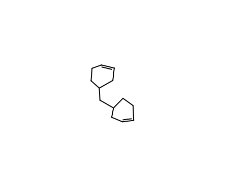 C1=CC[C](CC2CC=CCC2)CC1